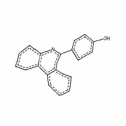 Oc1ccc(-c2nc3ccccc3c3ccccc23)cc1